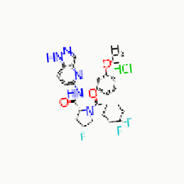 COc1ccc(C2(C(=O)N3C[C@H](F)C[C@@H]3C(=O)Nc3ccc4[nH]ncc4n3)CCC(F)(F)CC2)cc1.Cl